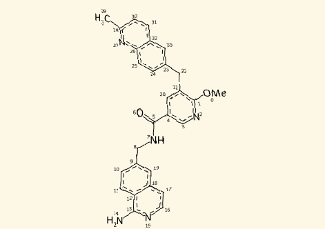 COc1ncc(C(=O)NCc2ccc3c(N)nccc3c2)cc1Cc1ccc2nc(C)ccc2c1